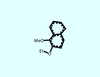 CCOc1c[c]c2ccccc2c1OC